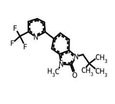 Cn1c(=O)n(CC(C)(C)C)c2ccc(-c3cccc(C(F)(F)F)n3)cc21